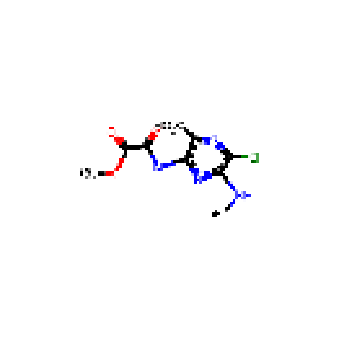 CC(C)Nc1nc(NC(=O)C(=O)OC(C)(C)C)c(C(=O)O)nc1Cl